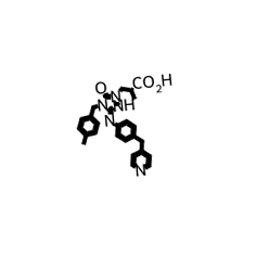 Cc1ccc(Cn2c(=O)n(C[C@H](C)C(=O)O)[nH]/c2=N\c2ccc(Cc3ccncc3)cc2)cc1